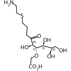 NCCSCCCC(=O)[C@H](O)[C@@H](OCC(=O)O)[C@@H](O)[C@H](O)CO